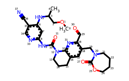 COCC(C)Nc1cc(NC(=O)N2CCCc3cc(CN4CCCCOC4=O)c(C=O)nc32)ncc1C#N